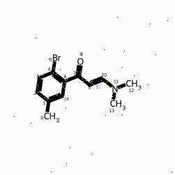 Cc1ccc(Br)c(C(=O)/C=C/N(C)C)c1